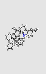 N#Cc1ccc(-c2ccccc2-n2c3ccccc3c3cc(C#N)ccc32)c([Si](c2ccccc2)(c2ccccc2)c2ccccc2)c1